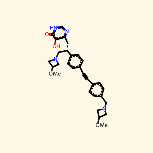 COC1CN(Cc2ccc(C#Cc3ccc([C@@H](Cc4nc[nH]c(=O)c4O)CN4CC(OC)C4)cc3)cc2)C1